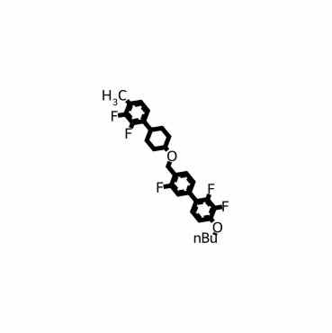 CCCCOc1ccc(-c2ccc(COC3CCC(c4ccc(C)c(F)c4F)CC3)c(F)c2)c(F)c1F